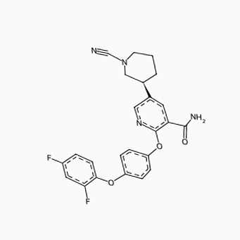 N#CN1CCC[C@@H](c2cnc(Oc3ccc(Oc4ccc(F)cc4F)cc3)c(C(N)=O)c2)C1